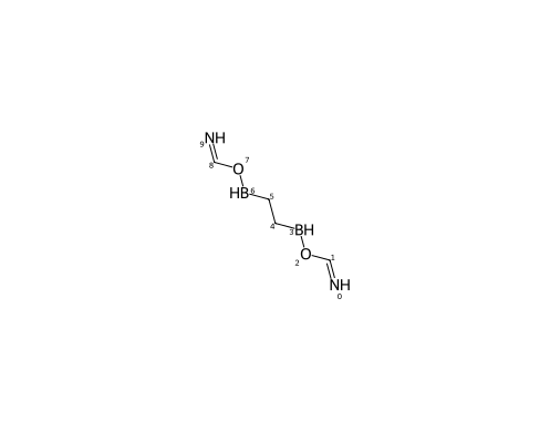 N=COBCCBOC=N